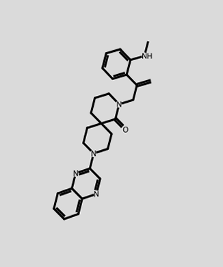 C=C(CN1CCCC2(CCN(c3cnc4ccccc4n3)CC2)C1=O)c1ccccc1NC